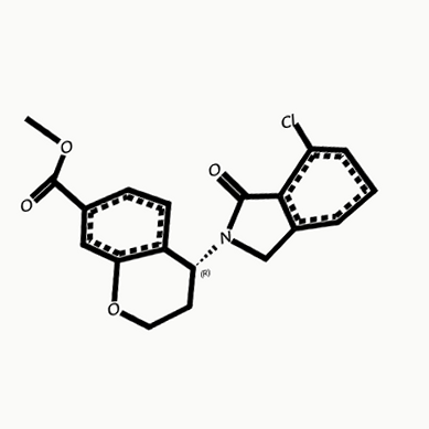 COC(=O)c1ccc2c(c1)OCC[C@H]2N1Cc2cccc(Cl)c2C1=O